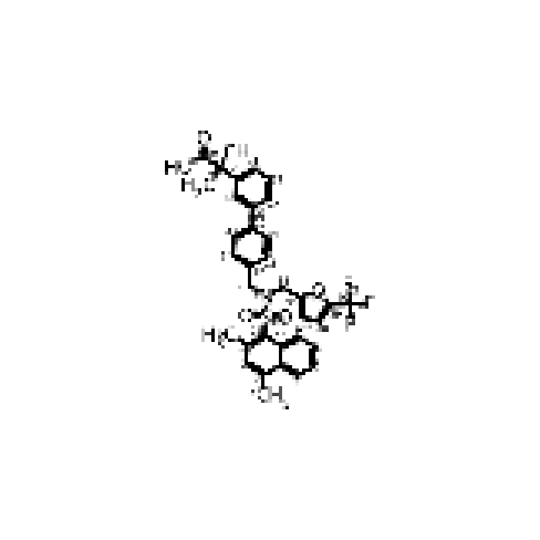 Cc1cc(C)c2ccccc2c1S(=O)(=O)N(Cc1ccc(-c2cccc(C(C)(C)C(=O)O)c2)cc1)Cc1ccc(C(F)(F)F)o1